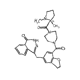 CN1CCC[C@]1(C)C(=O)N1CCN(C(=O)c2cc(Cc3n[nH]c(=O)c4ccccc34)cc3c2OCC3)CC1